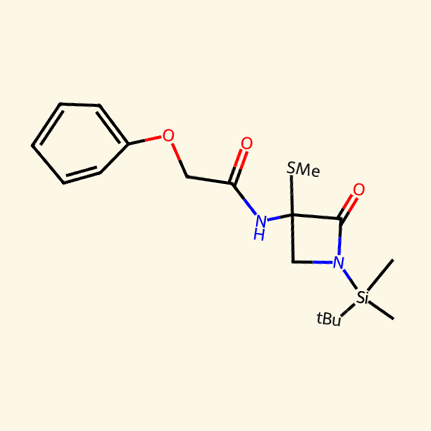 CSC1(NC(=O)COc2ccccc2)CN([Si](C)(C)C(C)(C)C)C1=O